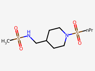 [CH2]CCS(=O)(=O)N1CCC(CNS(C)(=O)=O)CC1